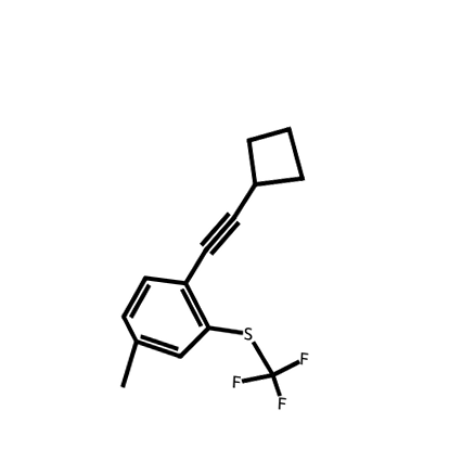 Cc1ccc(C#CC2CCC2)c(SC(F)(F)F)c1